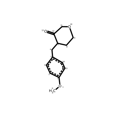 COc1ccc(CC2CCOCC2=O)cc1